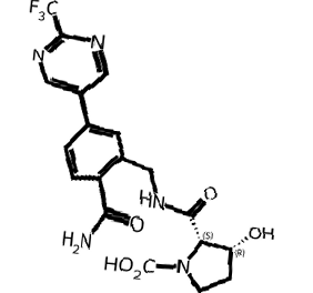 NC(=O)c1ccc(-c2cnc(C(F)(F)F)nc2)cc1CNC(=O)[C@@H]1[C@H](O)CCN1C(=O)O